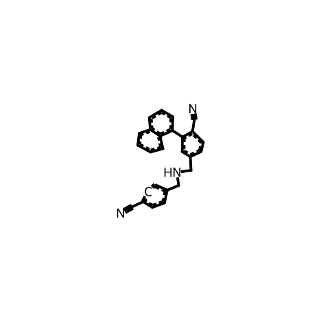 N#Cc1ccc(CNCc2ccc(C#N)c(-c3cccc4ccccc34)c2)cc1